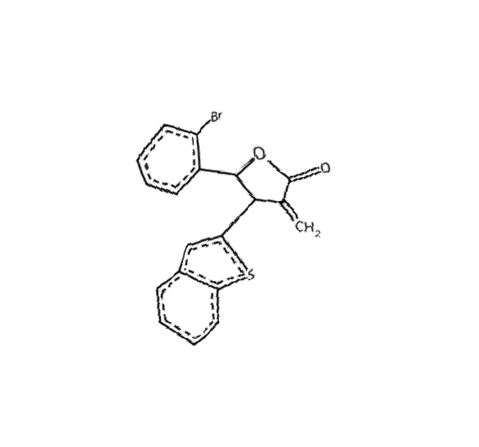 C=C1C(=O)OC(c2ccccc2Br)C1c1cc2ccccc2s1